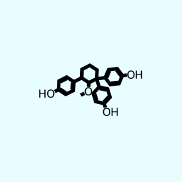 COC1C(c2ccc(O)cc2)CCCC1(c1ccc(O)cc1)c1ccc(O)cc1